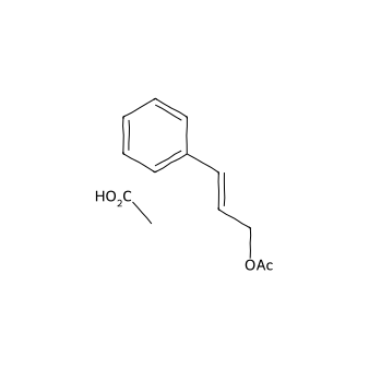 CC(=O)O.CC(=O)OCC=Cc1ccccc1